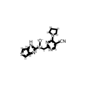 N#Cc1cnc(C[S+]([O-])c2nc3cscc3[nH]2)nc1N1CCCC1